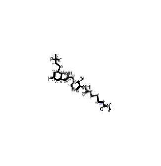 CN(C)C(=O)/C=C/CCCC(=O)Nc1cncn(Cc2cc3cc(F)cc(CCC(F)(F)F)c3[nH]2)c1=O